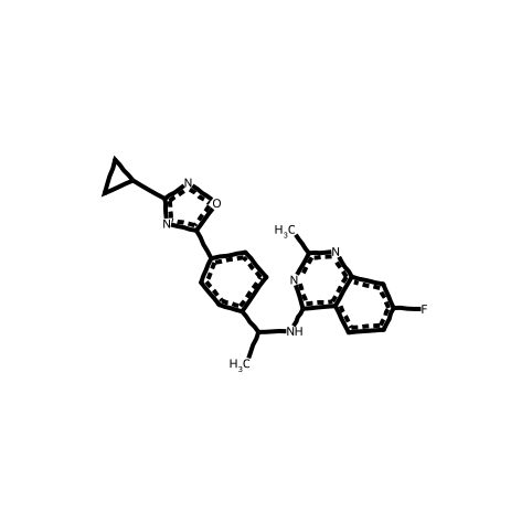 Cc1nc(NC(C)c2ccc(-c3nc(C4CC4)no3)cc2)c2ccc(F)cc2n1